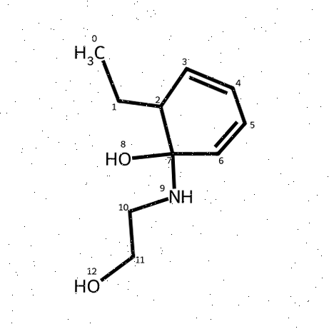 CCC1C=CC=CC1(O)NCCO